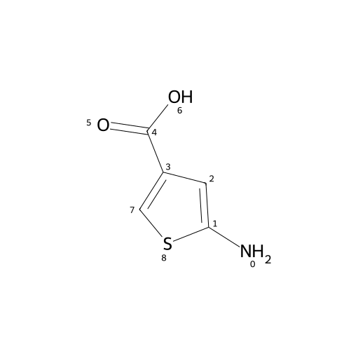 Nc1cc(C(=O)O)cs1